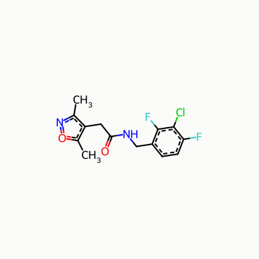 Cc1noc(C)c1CC(=O)NCc1ccc(F)c(Cl)c1F